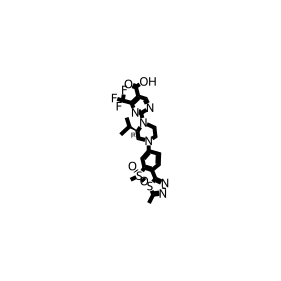 Cc1nnc(-c2ccc(N3CCN(c4ncc(C(=O)O)c(C(F)(F)F)n4)[C@H](C(C)C)C3)cc2S(C)(=O)=O)s1